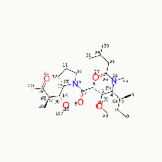 CC[C@H](C)[C@@H]([C@@H](CC(=O)N1CCC[C@H]1[C@H](OC)[C@@H](C)C(C)=O)OC)N(C)C(=O)CC(C)C